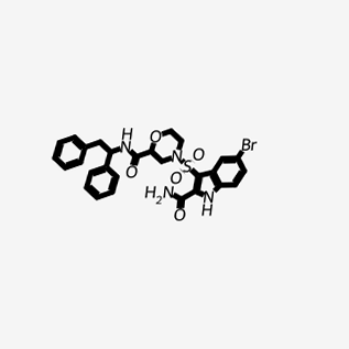 NC(=O)c1[nH]c2ccc(Br)cc2c1S(=O)(=O)N1CCOC(C(=O)NC(Cc2ccccc2)c2ccccc2)C1